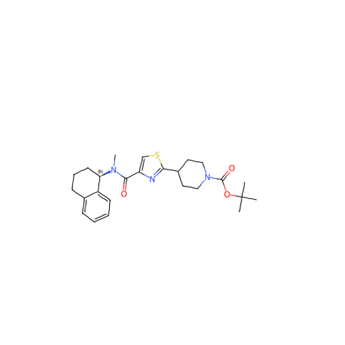 CN(C(=O)c1csc(C2CCN(C(=O)OC(C)(C)C)CC2)n1)[C@@H]1CCCc2ccccc21